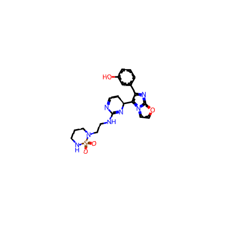 O=S1(=O)NCCCN1CCNC1=NC(c2c(-c3cccc(O)c3)nc3occn23)CC=N1